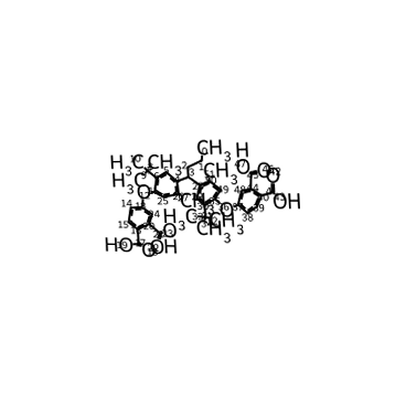 CCCC(c1cc(C(C)(C)C)c(Oc2ccc(C(=O)O)c(C(=O)O)c2)cc1C)c1cc(C(C)(C)C)c(Oc2ccc(C(=O)O)c(C(=O)O)c2)cc1C